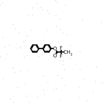 CC(F)(F)C(=O)Oc1ccc(-c2ccccc2)cc1